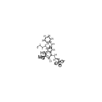 CCCCc1c(NC(C)=O)c(C(CC)CC=CP(=O)([O-])[O-])cn1Cc1ccccc1.[Mg+2]